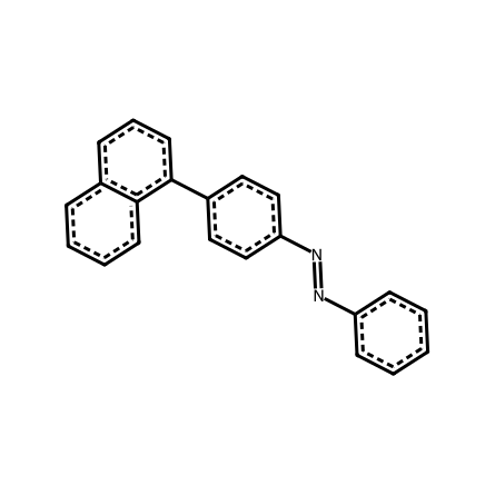 c1ccc(N=Nc2ccc(-c3cccc4ccccc34)cc2)cc1